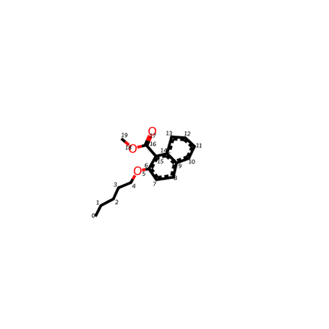 CCCCCOc1ccc2ccccc2c1C(=O)OC